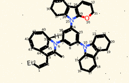 CC/C=C\C1=C(C)N(c2cc(-n3c4c(c5c3CCC=C5)CCC=C4)cc(-n3c4c(c5c3OCC=C5)C=CCC4)c2)[C@H]2C=CC=CC1=C2